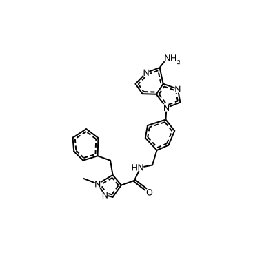 Cn1ncc(C(=O)NCc2ccc(-n3cnc4c(N)nccc43)cc2)c1Cc1ccccc1